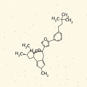 C=C(CC1=CC(C)C=C1C1C[C@@H](C)[C@H](C)C1=O)c1coc(-c2cccc(CCC(C)(C)C)c2)c1